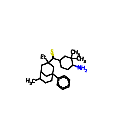 CCC1(C(=S)C2CC[C@H](N)C(C)(C)C2)CC2CC(c3ccccc3)(CCC2C)C1